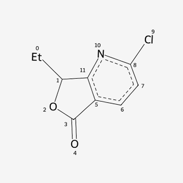 CCC1OC(=O)c2ccc(Cl)nc21